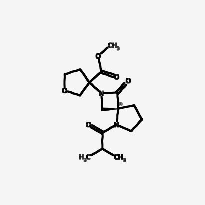 COC(=O)C1(N2C[C@]3(CCCN3C(=O)C(C)C)C2=O)CCOC1